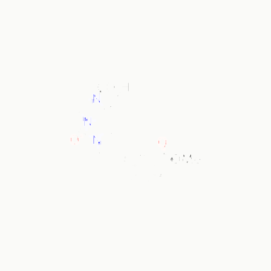 COC(=O)c1cccc(C#CCN2CC3CN(C(=O)O)CCN3C2=O)c1